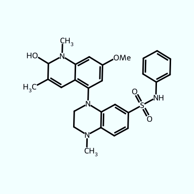 COc1cc(N2CCN(C)c3ccc(S(=O)(=O)Nc4ccccc4)cc32)c2c(c1)N(C)C(O)C(C)=C2